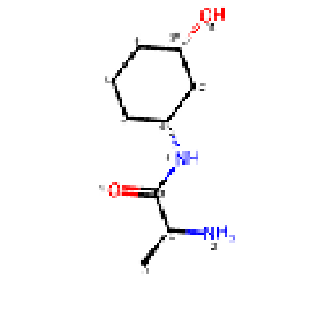 C[C@H](N)C(=O)N[C@@H]1CCC[C@H](O)C1